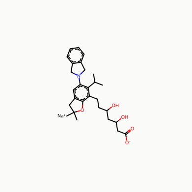 CC(C)c1c(N2Cc3ccccc3C2)cc2c(c1CCC(O)CC(O)CC(=O)[O-])OC(C)(C)C2.[Na+]